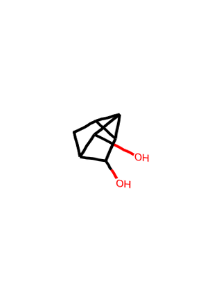 OC1C2CC3C1C3C2O